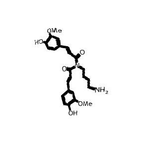 COc1cc(/C=C/C(=O)N(CCCCN)C(=O)/C=C/c2ccc(O)c(OC)c2)ccc1O